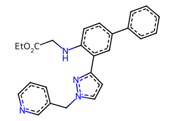 CCOC(=O)CNc1ccc(-c2ccccc2)cc1-c1ccn(Cc2cccnc2)n1